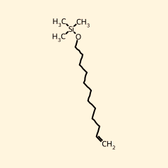 C=CCCCCCCCCCCO[Si](C)(C)C